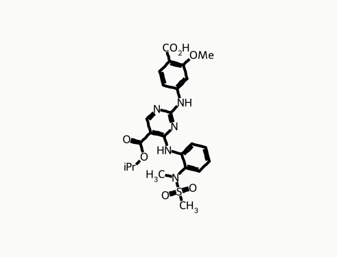 COc1cc(Nc2ncc(C(=O)OC(C)C)c(Nc3ccccc3N(C)S(C)(=O)=O)n2)ccc1C(=O)O